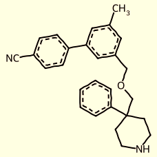 Cc1cc(COCC2(c3ccccc3)CCNCC2)cc(-c2ccc(C#N)cc2)c1